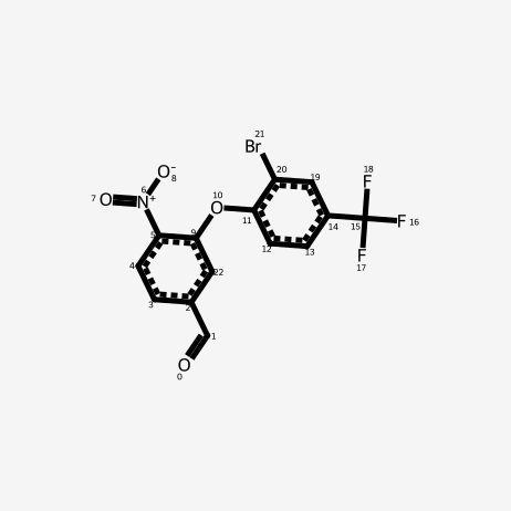 O=Cc1ccc([N+](=O)[O-])c(Oc2ccc(C(F)(F)F)cc2Br)c1